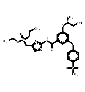 CCOP(=O)(Cc1csc(NC(=O)c2cc(Oc3ccc(S(C)(=O)=O)cc3)cc(O[C@@H](C)CO)c2)n1)OCC